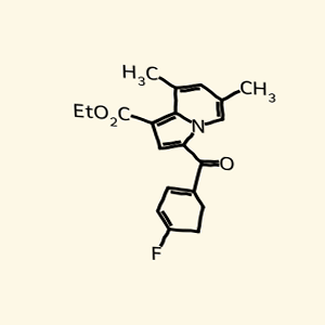 CCOC(=O)c1cc(C(=O)C2=CC=C(F)CC2)n2cc(C)cc(C)c12